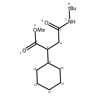 COC(=O)C(CC(=O)NC(C)(C)C)C1CCCCC1